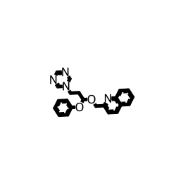 C1=NC=NCN1CCC(OCc1ccc2ccccc2n1)Oc1ccccc1